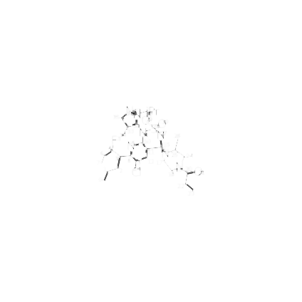 C=C/C=C(\C(F)=C/C)c1nc2c(cc1Cl)C(N1CCN(C(=O)C=C)CC1C)=NS(=O)(=O)N2c1c(C)cnn1C(C)C